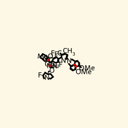 COc1ccc(CN(Cc2ccc(OC)cc2)c2cc(C)c(C(F)(F)F)c(-c3c(F)c(OC)c4c(N5CC6CCC(C5)N6C(=O)OC(C)(C)C)nc(OC[C@@]56CCCN5C[C@H](F)C6)nc4c3F)n2)cc1